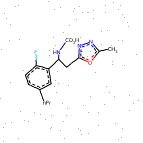 CCCc1ccc(F)c(C(Cc2nnc(C)o2)NC(=O)O)c1